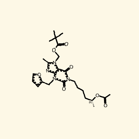 CC(=O)O[C@H](C)CCCCn1c(=O)c2c(nc(C)n2COC(=O)C(C)(C)C)n(Cc2ccco2)c1=O